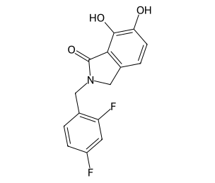 O=C1c2c(ccc(O)c2O)CN1Cc1ccc(F)cc1F